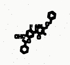 CC(Oc1cc(NC(=O)N(C)C(=N)COCc2ccccc2)c(F)cc1C=O)C1CCCCC1